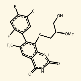 CO[C@H](CO)CSc1c(-c2cc(Cl)c(F)cc2F)c(C(F)(F)F)cc2c(=O)[nH]c(=O)[nH]c12